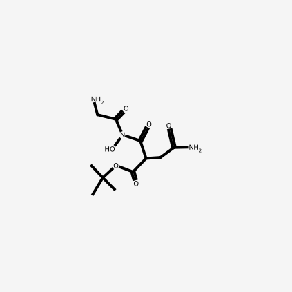 CC(C)(C)OC(=O)C(CC(N)=O)C(=O)N(O)C(=O)CN